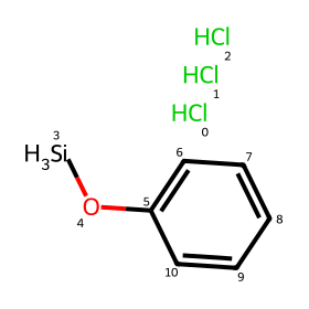 Cl.Cl.Cl.[SiH3]Oc1ccccc1